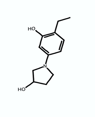 CCc1ccc(N2CCC(O)C2)cc1O